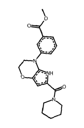 COC(=O)c1cccc(N2CCOc3cc(C(=O)N4CCCCC4)[nH]c32)c1